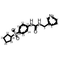 O=C(NCc1cccnc1)Nc1ccc(S(=O)(=O)C2CCCC2)cc1